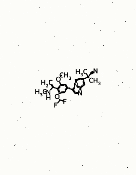 C=C(NC)c1c(OC)cc(-c2cnc3cc(C(C)(C)C#N)ccn23)cc1OC(F)F